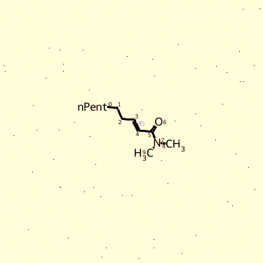 CCCCCCC/C=C/C(=O)N(C)C